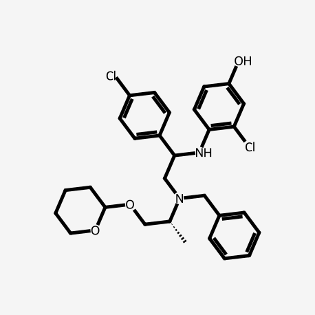 C[C@H](COC1CCCCO1)N(Cc1ccccc1)CC(Nc1ccc(O)cc1Cl)c1ccc(Cl)cc1